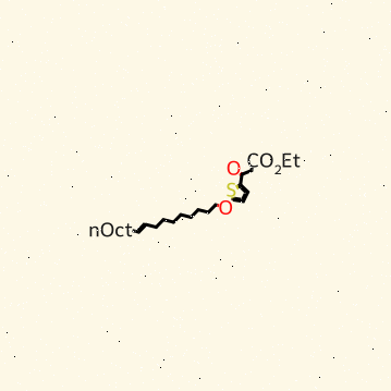 CCCCCCCCC=CCCCCCCCCOc1ccc(C(=O)CC(=O)OCC)s1